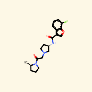 N#C[C@@H]1CCCN1C(=O)CN1CC[C@H](NC(=O)c2coc3c(F)cccc23)C1